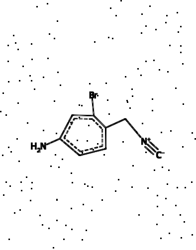 [C-]#[N+]Cc1ccc(N)cc1Br